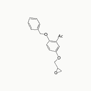 CC(=O)c1cc(OCC2CO2)ccc1OCc1ccccc1